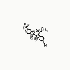 CC[S+]([O-])c1c(-c2nc3cc(C(F)(F)F)ncc3n2C)nn2cc(C#N)ccc12